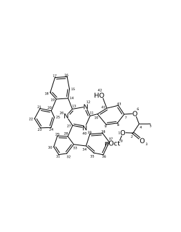 CCCCCCCCOC(=O)C(C)Oc1ccc(-c2nc(-c3ccccc3-c3ccccc3)nc(-c3ccccc3-c3ccccc3)n2)c(O)c1